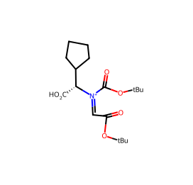 CC(C)(C)OC(=O)C=[N+](C(=O)OC(C)(C)C)[C@H](C(=O)O)C1CCCC1